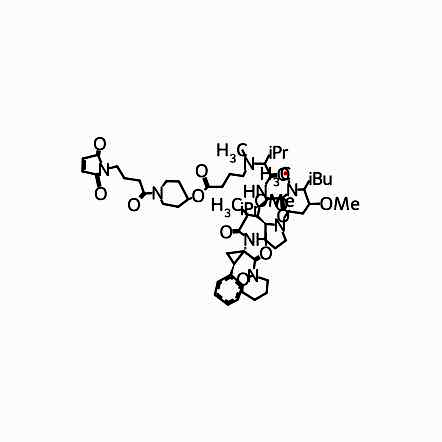 CCC(C)C(C(CC(=O)N1CCC[C@H]1C(OC)C(C)C(=O)N[C@@]1(C(=O)N2CCCCO2)C[C@@H]1c1ccccc1)OC)N(C)C(=O)C(NC(=O)C(C(C)C)N(C)CCCC(=O)OC1CCN(C(=O)CCCN2C(=O)C=CC2=O)CC1)C(C)C